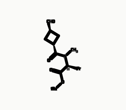 CC(C)[C@@H](C(=O)OC(C)(C)C)N(C)C(=O)[C@H]1C[C@H](C=O)C1